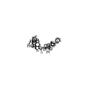 CC[C@H]1[C@@H](O)[C@@H]2[C@H](CC[C@]3(C)[C@@H]([C@H](C)COC(=O)NS(=O)(=O)c4ccc(N5CCCCC5)nc4)CC[C@@H]23)[C@@]2(C)CCCC[C@@H]12